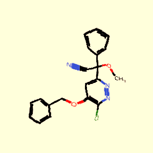 COC(C#N)(c1ccccc1)c1cc(OCc2ccccc2)c(Cl)nn1